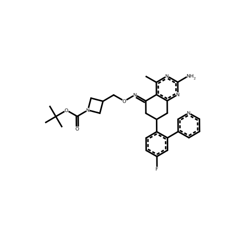 Cc1nc(N)nc2c1/C(=N/OCC1CN(C(=O)OC(C)(C)C)C1)CC(c1ccc(F)cc1-c1cccnc1)C2